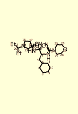 CCOC(=O)/N=C(\N[C@@H](CC1CCCCC1)C(=O)NC1(C#N)CCN(C(CC)CC)C1)N1CCOCC1